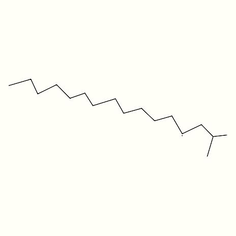 CCCCCCCCCCCC[CH]CC(C)C